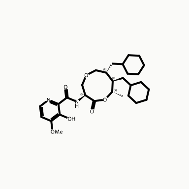 COc1ccnc(C(=O)N[C@H]2COC[C@H](CC3CCCCC3)[C@@H](CC3CCCCC3)[C@H](C)OC2=O)c1O